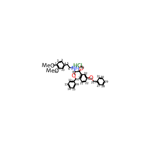 COc1ccc(CCNC(OCc2ccccc2)C(=O)c2cccc(OCc3ccccc3)c2)cc1OC.Cl